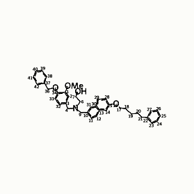 COc1cc(CN(CCO)Cc2ccc3cc(OCCCCCc4ccccc4)ccc3c2)ccc1OCc1ccccc1